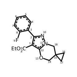 CCOC(=O)c1c(-c2ccccc2F)nn2c1OCC1(CC1)C2